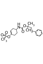 CC(C)(CCc1ccccc1)OC(=O)NC1CC=C(OS(=O)(=O)C(F)(F)F)CC1